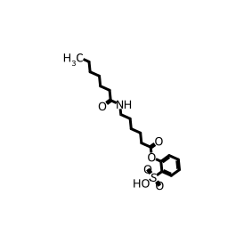 CCCCCCC(=O)NCCCCCC(=O)Oc1ccccc1S(=O)(=O)O